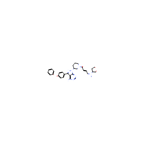 CN(C/C=C/C(=O)N1CCCC(n2nc(-c3ccc(Oc4ccccc4)cc3)c3c(N)ncnc32)C1)C1CCOC1